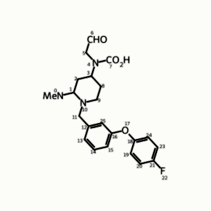 CNC1CC(N(CC=O)C(=O)O)CCN1Cc1cccc(Oc2ccc(F)cc2)c1